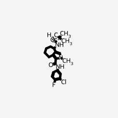 Cn1cc2c(c1C(=O)Nc1ccc(F)c(Cl)c1)CCCCC2N[S@+]([O-])C(C)(C)C